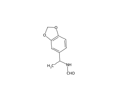 CC(NC=O)c1ccc2c(c1)OCO2